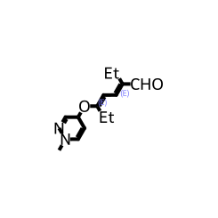 CC/C(C=O)=C\C=C(/CC)OC1C=CN(C)N=C1